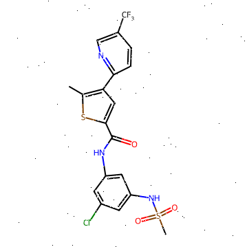 Cc1sc(C(=O)Nc2cc(Cl)cc(NS(C)(=O)=O)c2)cc1-c1ccc(C(F)(F)F)cn1